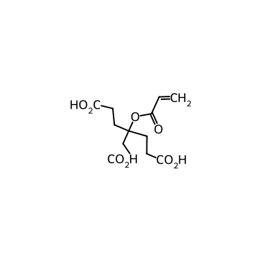 C=CC(=O)OC(CCC(=O)O)(CCC(=O)O)CC(=O)O